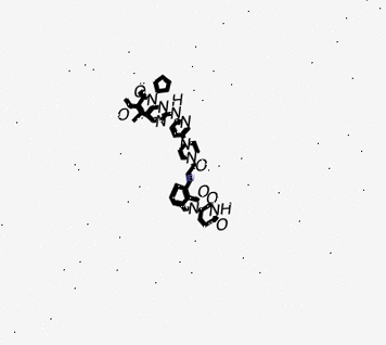 CC(=O)c1c(C)c2cnc(Nc3ccc(N4CCN(C(=O)/C=C/c5cccc6c5C(=O)N(C5CCC(=O)NC5=O)C6)CC4)cn3)nc2n(C2CCCC2)c1=O